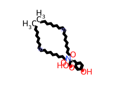 CCCCCCCC/C=C\CCCCCCCC(=O)N(C(=O)CCCCCCC/C=C\CCCCCCCC)[C@@H](Cc1ccc(O)cc1)C(=O)O